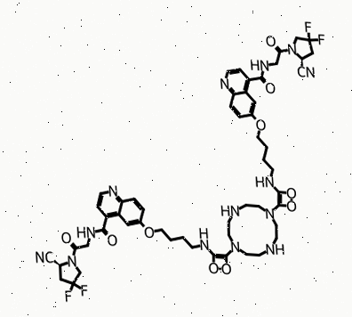 N#C[C@@H]1CC(F)(F)CN1C(=O)CNC(=O)c1ccnc2ccc(OCCCCNc3ooc3N3CCNCCN(c4ooc4NCCCCOc4ccc5nccc(C(=O)NCC(=O)N6CC(F)(F)C[C@H]6C#N)c5c4)CCNCC3)cc12